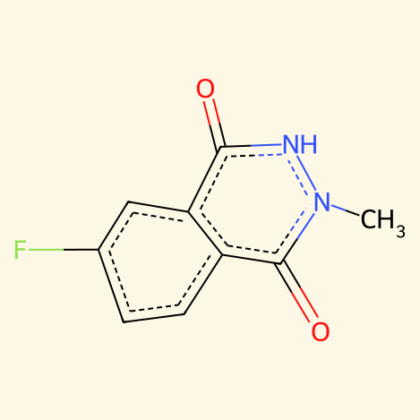 Cn1[nH]c(=O)c2cc(F)ccc2c1=O